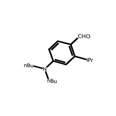 CCCCN(CCCC)c1ccc(C=O)c(C(C)C)c1